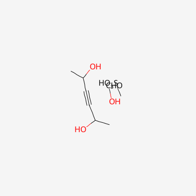 CC(O)C#CC(C)O.CS(=O)(=O)O.O=CO